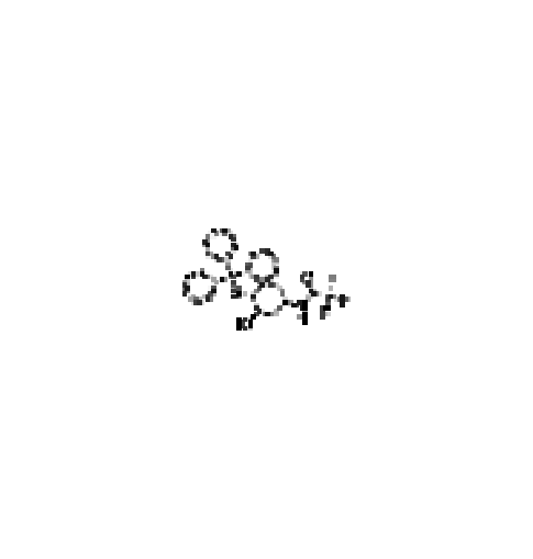 O=C(N[C@@H]1CC[C@@H](SC(c2ccccc2)(c2ccccc2)c2ccccc2)[C@H](O)C1)C(F)(F)F